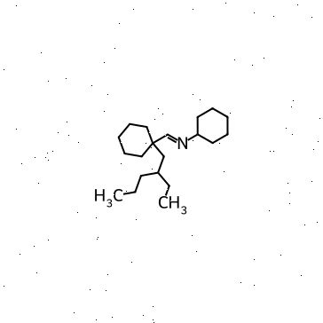 CCCC(CC)CC1(C=NC2CCCCC2)CCCCC1